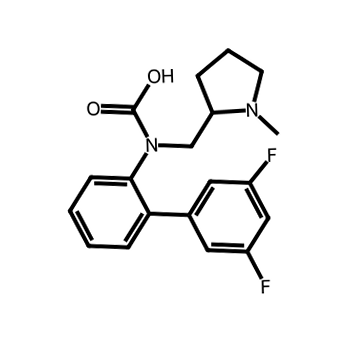 CN1CCCC1CN(C(=O)O)c1ccccc1-c1cc(F)cc(F)c1